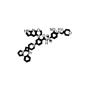 CC(C)c1ccccc1[C@@H]1CCCN1C1CC2(CCN(c3ccc(C(=O)NS(=O)(=O)c4ccc(NCC5(F)CCOCC5)c([N+](=O)[O-])c4)c(N4CCOc5nc6[nH]ccc6cc54)c3)CC2)C1